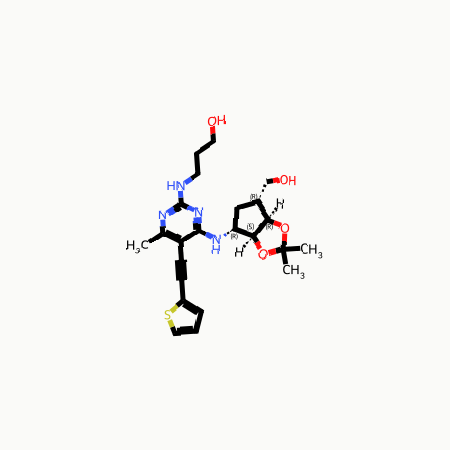 Cc1nc(NCCCO)nc(N[C@@H]2C[C@H](CO)[C@H]3OC(C)(C)O[C@H]32)c1C#Cc1cccs1